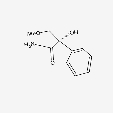 COC[C@](O)(C(N)=O)c1ccccc1